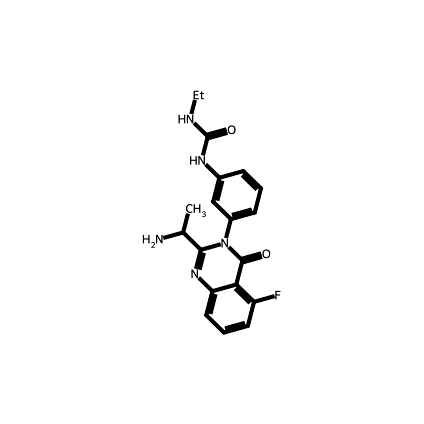 CCNC(=O)Nc1cccc(-n2c(C(C)N)nc3cccc(F)c3c2=O)c1